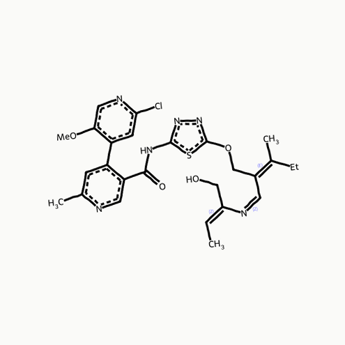 C\C=C(CO)/N=C\C(COc1nnc(NC(=O)c2cnc(C)cc2-c2cc(Cl)ncc2OC)s1)=C(\C)CC